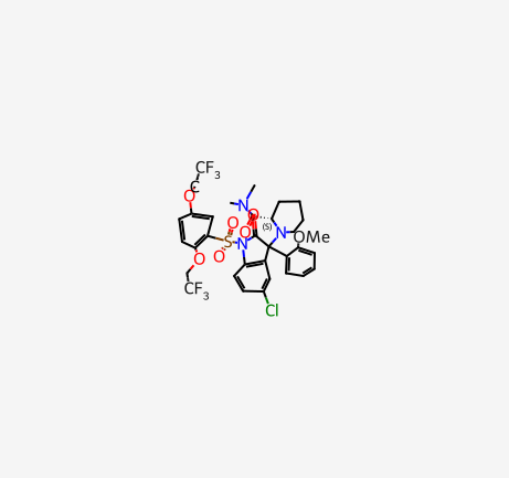 COc1ccccc1C1(N2CCCC[C@H]2C(=O)N(C)C)C(=O)N(S(=O)(=O)c2cc(OCC(F)(F)F)ccc2OCC(F)(F)F)c2ccc(Cl)cc21